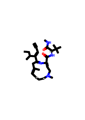 C#C/C=C(/C1=N\C(C(=O)N[C@H](C(=O)NC)C(C)(C)C)=C\CN(C)CCC/C=C(\C)C1)C(C)CC